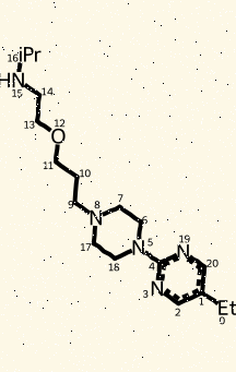 CCc1cnc(N2CCN(CCCOCCNC(C)C)CC2)nc1